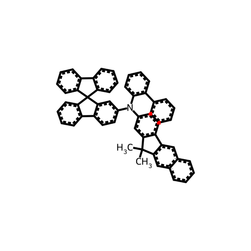 CC1(C)c2cc(N(c3ccc4c(c3)C3(c5ccccc5-c5ccccc53)c3ccccc3-4)c3ccccc3-c3ccccc3)ccc2-c2cc3ccccc3cc21